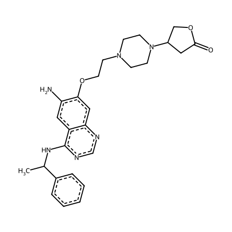 CC(Nc1ncnc2cc(OCCN3CCN(C4COC(=O)C4)CC3)c(N)cc12)c1ccccc1